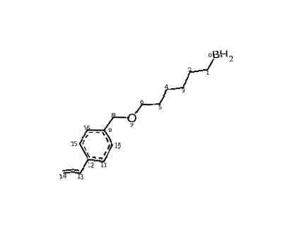 BCCCCCCOCc1ccc(C=C)cc1